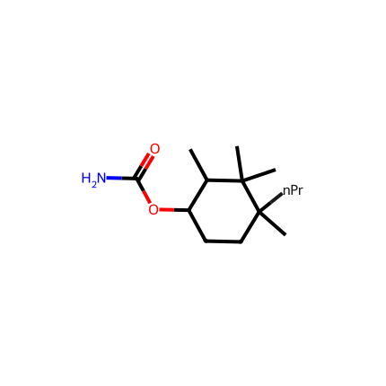 CCCC1(C)CCC(OC(N)=O)C(C)C1(C)C